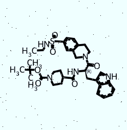 CCNS(=O)(=O)c1ccc2c(c1)CN(C(=O)[C@@H](Cc1c[nH]c3ccccc13)NC(=O)C1CCN(C(=O)OC(C)(C)C)CC1)CC2